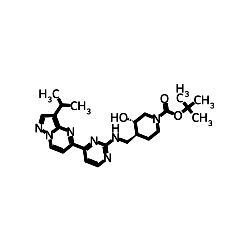 CC(C)c1cnn2ccc(-c3ccnc(NC[C@@H]4CCN(C(=O)OC(C)(C)C)C[C@H]4O)n3)nc12